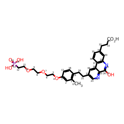 Cc1cc(OCCOCCOCCP(=O)(O)O)ccc1CCc1cnc2c(O)nc3cc(CCC(=O)O)ccc3c2c1